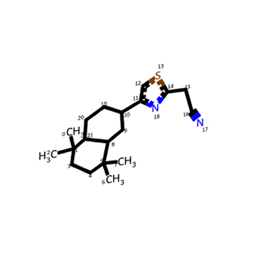 CC1(C)CCC(C)(C)C2CC(c3csc(CC#N)n3)CCC21